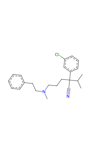 CC(C)C(C#N)(CCCN(C)CCc1ccccc1)c1cccc(Cl)c1